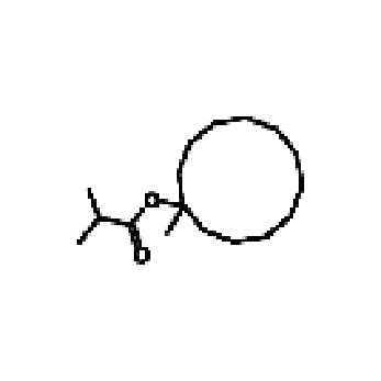 CC(C)C(=O)OC1(C)CCCCCCCCCCC1